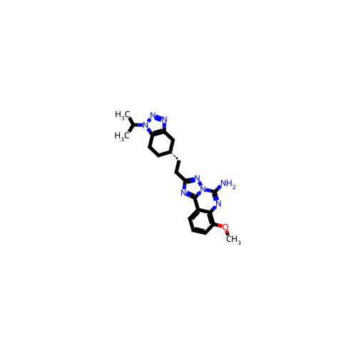 COc1cccc2c1nc(N)n1nc(CC[C@@H]3CCc4c(nnn4C(C)C)C3)nc21